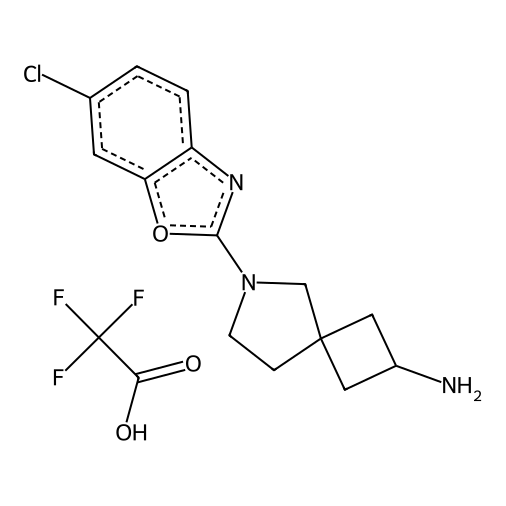 NC1CC2(CCN(c3nc4ccc(Cl)cc4o3)C2)C1.O=C(O)C(F)(F)F